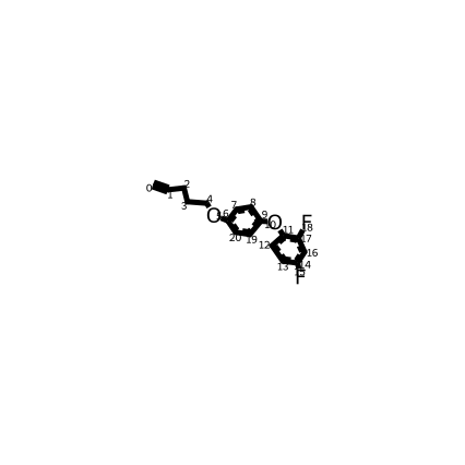 C#CCCCOc1ccc(Oc2ccc(F)cc2F)cc1